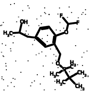 CC(O)Cc1ccc(OC(F)F)c(CO[Si](C)(C)C(C)(C)C)c1